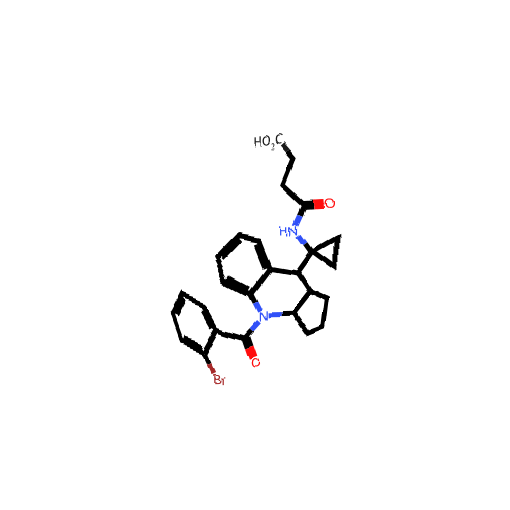 O=C(O)CCC(=O)NC1(C2c3ccccc3N(C(=O)c3ccccc3Br)C3CCCC32)CC1